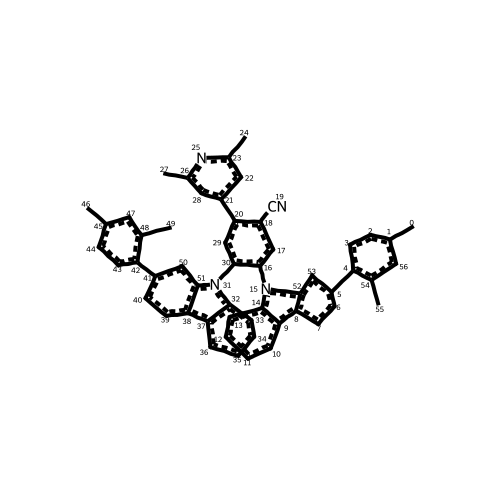 Cc1ccc(-c2ccc3c4ccccc4n(-c4cc(C#N)c(-c5cc(C)nc(C)c5)cc4-n4c5ccccc5c5ccc(-c6ccc(C)cc6C)cc54)c3c2)c(C)c1